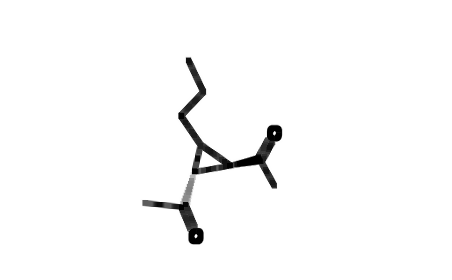 CCCC1[C@@H](C(C)=O)[C@@H]1C(C)=O